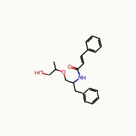 CC(CO)OCC(Cc1ccccc1)NC(=O)/C=C/c1ccccc1